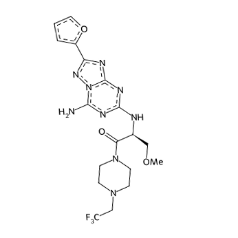 COC[C@H](Nc1nc(N)n2nc(-c3ccco3)nc2n1)C(=O)N1CCN(CC(F)(F)F)CC1